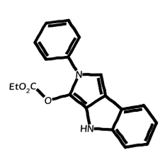 CCOC(=O)Oc1c2[nH]c3ccccc3c2cn1-c1ccccc1